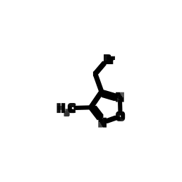 Cc1nonc1CBr